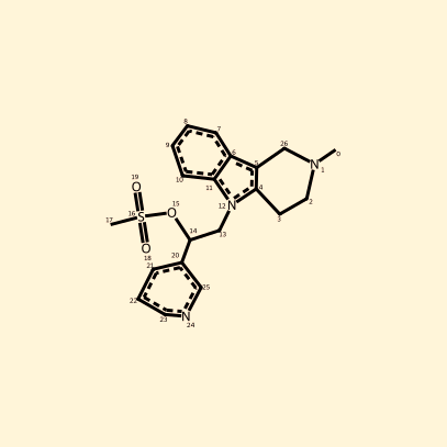 CN1CCc2c(c3ccccc3n2CC(OS(C)(=O)=O)c2cccnc2)C1